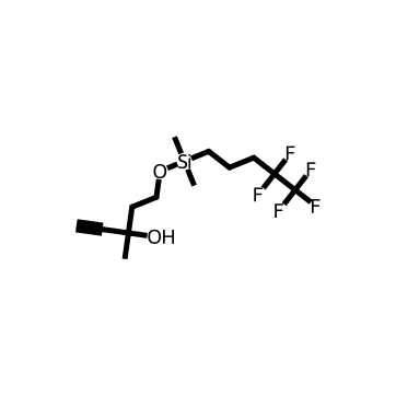 C#CC(C)(O)CCO[Si](C)(C)CCCC(F)(F)C(F)(F)F